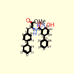 COC(=O)[C@H](Cc1ccc(-c2ccccc2)cc1)NC(=O)C1=CC(c2ccccc2)C=CC1(N)O